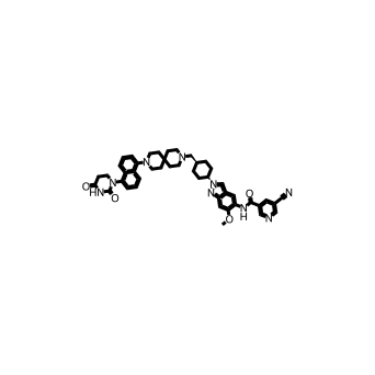 COc1cc2nn([C@H]3CC[C@H](CN4CCC5(CC4)CCN(c4cccc6c(N7CCC(=O)NC7=O)cccc46)CC5)CC3)cc2cc1NC(=O)c1cncc(C#N)c1